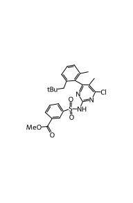 COC(=O)c1cccc(S(=O)(=O)Nc2nc(Cl)c(C)c(-c3c(C)cccc3CC(C)(C)C)n2)c1